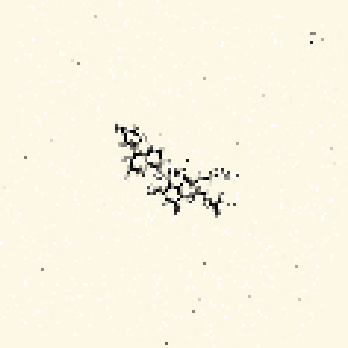 COCCN(C(=O)COC(F)F)C(O)c1cc(F)cc(Cl)c1COc1cccc2c(-n3cc(F)cn3)cc(C)nc12